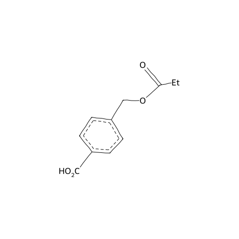 CCC(=O)OCc1ccc(C(=O)O)cc1